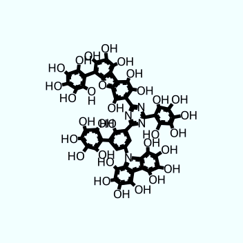 Oc1c(-c2nc(-c3c(O)c(O)c(O)c(O)c3O)nc(-c3c(O)c(O)c4c(oc5c(-c6c(O)c(O)c(O)c(O)c6O)c(O)c(O)c(O)c54)c3O)n2)cc(-n2c3c(O)c(O)c(O)c(O)c3c3c(O)c(O)c(O)c(O)c32)cc1-c1c(O)c(O)c(O)c(O)c1O